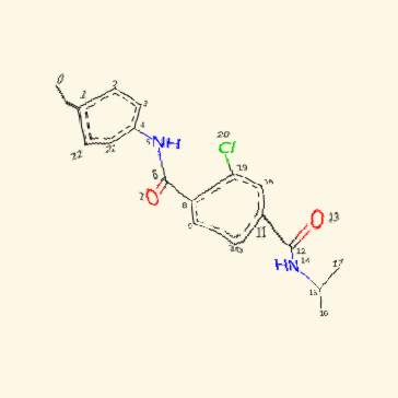 Cc1ccc(NC(=O)c2ccc(C(=O)NC(C)C)cc2Cl)cc1